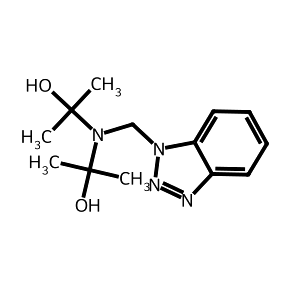 CC(C)(O)N(Cn1nnc2ccccc21)C(C)(C)O